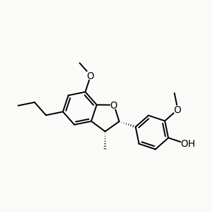 CCCc1cc(OC)c2c(c1)[C@@H](C)[C@@H](c1ccc(O)c(OC)c1)O2